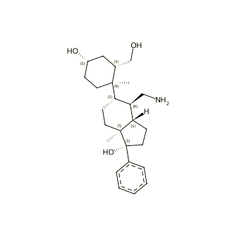 C[C@]1([C@H]2CC[C@@]3(C)[C@@H](CC[C@@]3(O)c3ccccc3)[C@@H]2CN)CC[C@H](O)C[C@@H]1CO